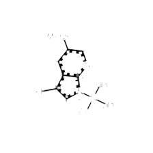 COc1cnc2c(c1)c(I)cn2[Si](C(C)C)(C(C)C)C(C)C